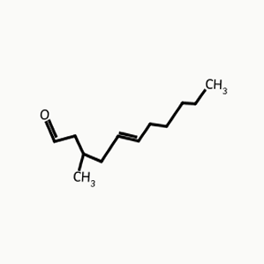 CCCCCC=CCC(C)CC=O